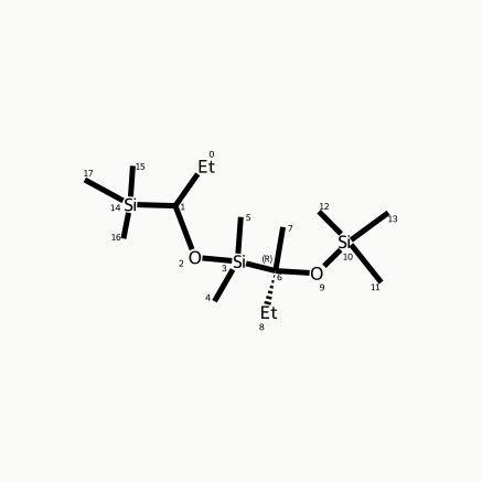 CCC(O[Si](C)(C)[C@](C)(CC)O[Si](C)(C)C)[Si](C)(C)C